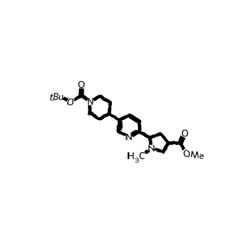 COC(=O)C1CC(c2ccc(C3CCN(C(=O)OC(C)(C)C)CC3)cn2)N(C)C1